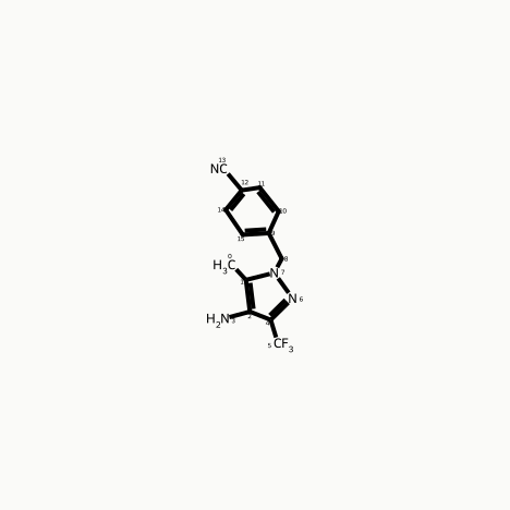 Cc1c(N)c(C(F)(F)F)nn1Cc1ccc(C#N)cc1